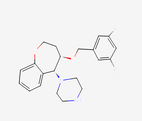 Brc1cc(Br)cc(CO[C@@H]2CCOc3ccccc3[C@@H]2N2CCNCC2)c1